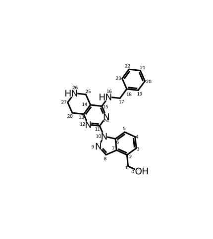 OCc1cccc2c1cnn2-c1nc2c(c(NCc3ccccc3)n1)CNCC2